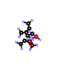 N#Cc1ccc(-c2ccc(-n3c4ccc(-c5cc(C#N)cc(C#N)c5)cc4c4cc(-c5cc(C#N)cc(C#N)c5)ccc43)c(-c3cccc(-n4c5ccc(-c6cc(C#N)cc(C#N)c6)cc5c5cc(-c6cc(C#N)cc(C#N)c6)ccc54)c3-c3nc(-c4ccccc4)nc(-c4ccccc4)n3)c2)cc1